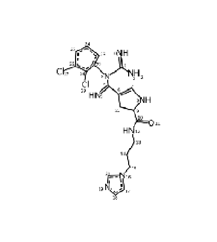 N=C(N)N(C(=N)C1=CNC(C(=O)NCCCn2ccnc2)C1)c1cccc(Cl)c1Cl